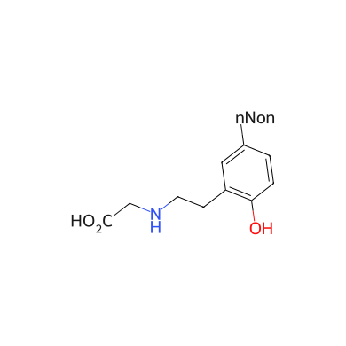 CCCCCCCCCc1ccc(O)c(CCNCC(=O)O)c1